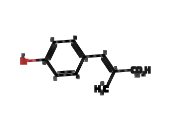 CC(=Cc1ccc(Br)cc1)C(=O)O